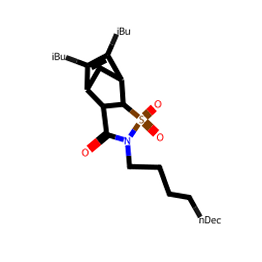 CCCCCCCCCCCCCCN1C(=O)C2C3CC(C(C(C)CC)=C3C(C)CC)C2S1(=O)=O